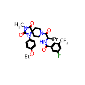 CCOc1ccc(N2C(=O)N(C)C(=O)C23CCN(C(=O)C(NC(=O)c2cc(F)cc(C(F)(F)F)c2)C(C)C)CC3)cc1